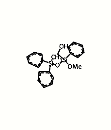 CO[Si](CO)(O[Si](C)(c1ccccc1)c1ccccc1)c1ccccc1